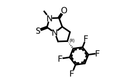 CN1C(=O)C2C[C@H](c3c(F)c(F)cc(F)c3F)CN2C1=S